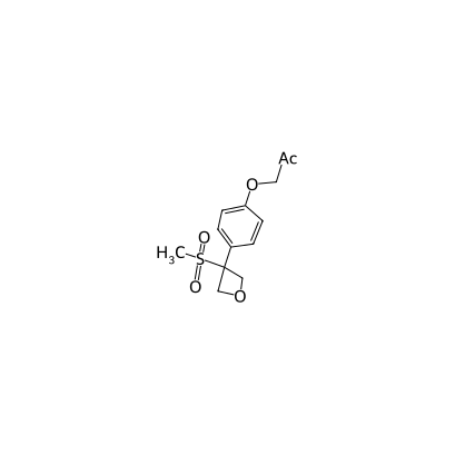 CC(=O)COc1ccc(C2(S(C)(=O)=O)COC2)cc1